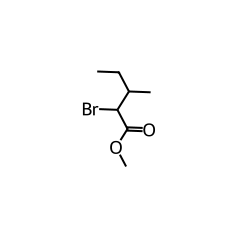 CCC(C)C(Br)C(=O)OC